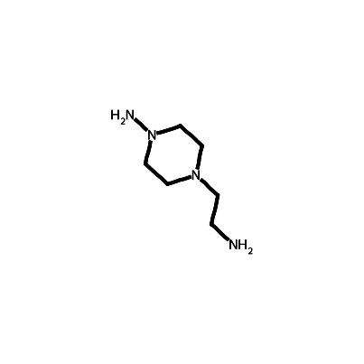 NCCN1CCN(N)CC1